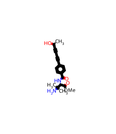 COC(=O)[C@@H](NC(=O)c1ccc(C#CC#C[C@H](C)O)cc1)C(C)(C)N